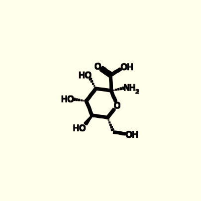 N[C@]1(C(=O)O)O[C@H](CO)[C@@H](O)[C@H](O)[C@@H]1O